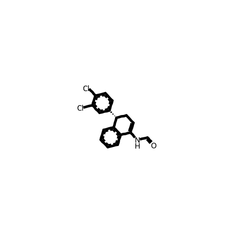 O=CNC1=CC[C@@H](c2ccc(Cl)c(Cl)c2)c2ccccc21